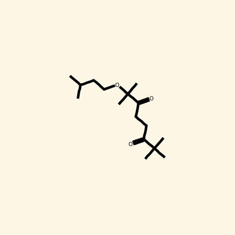 CC(C)CCOC(C)(C)C(=O)CCC(=O)C(C)(C)C